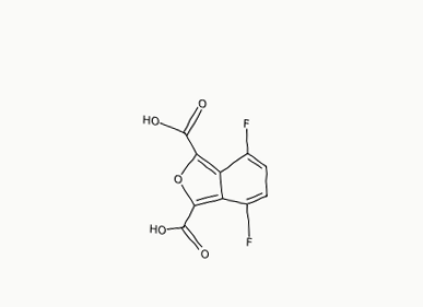 O=C(O)c1oc(C(=O)O)c2c(F)ccc(F)c12